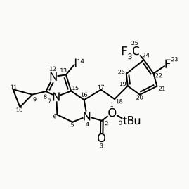 CC(C)(C)OC(=O)N1CCn2c(C3CC3)nc(I)c2C1CCc1ccc(F)c(C(F)(F)F)c1